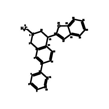 CN1Cc2cc(-c3cccnn3)ccc2C(c2cc3ccccc3o2)C1